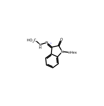 CCCCCCN1C(=O)/C(=N/NC(=O)O)c2ccccc21